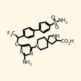 Nc1nc(OC(c2ccc(-c3ccc(S(N)(=O)=O)cc3)cc2)C(F)(F)F)cc(N2CCC3(CC2)CNC(C(=O)O)C3)n1